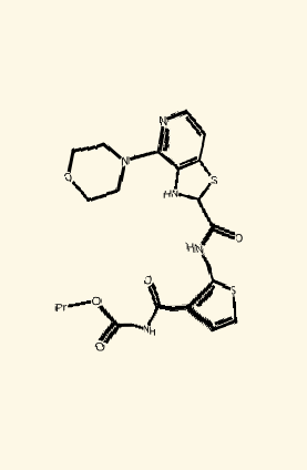 CC(C)OC(=O)NC(=O)c1ccsc1NC(=O)C1Nc2c(ccnc2N2CCOCC2)S1